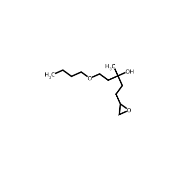 CCCCOCCC(C)(O)CCC1CO1